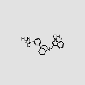 Cn1cc(CN2CCC3(c4cccc(C(N)=O)c4)CCCC2C3)c2ccccc21